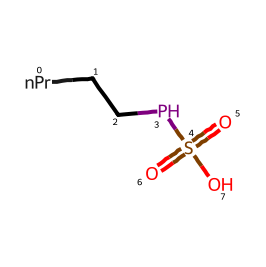 CCCCCPS(=O)(=O)O